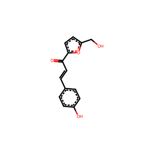 O=C(C=Cc1ccc(O)cc1)c1ccc(CO)o1